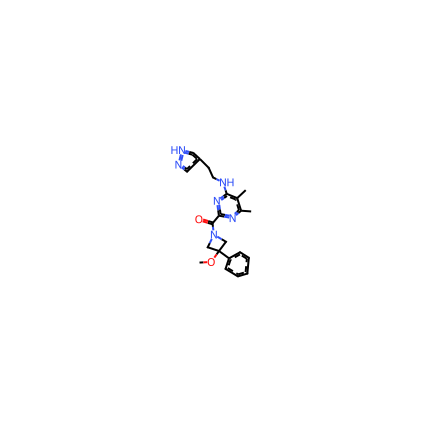 COC1(c2ccccc2)CN(C(=O)c2nc(C)c(C)c(NCCc3cn[nH]c3)n2)C1